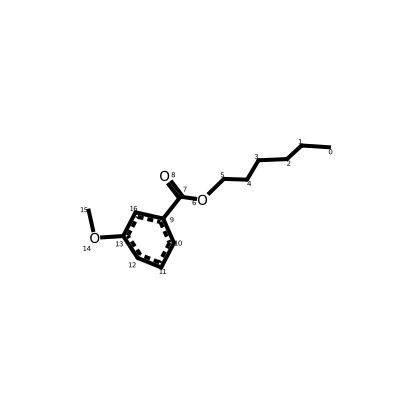 CCCCCCOC(=O)c1cccc(OC)c1